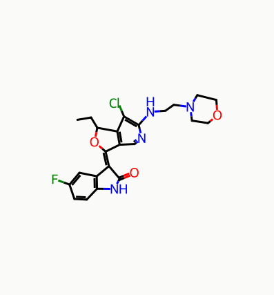 CCC1O/C(=C2/C(=O)Nc3ccc(F)cc32)c2cnc(NCCN3CCOCC3)c(Cl)c21